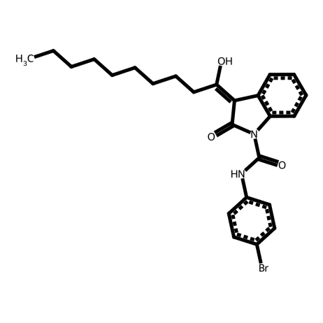 CCCCCCCCCC(O)=C1C(=O)N(C(=O)Nc2ccc(Br)cc2)c2ccccc21